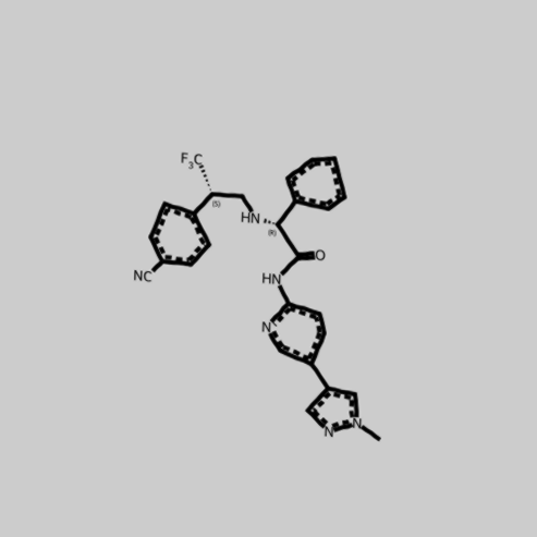 Cn1cc(-c2ccc(NC(=O)[C@H](NC[C@H](c3ccc(C#N)cc3)C(F)(F)F)c3ccccc3)nc2)cn1